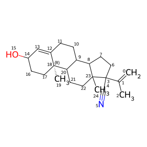 C=C(C)C1(C#N)CCC2C3CCC4=CC(O)CC[C@]4(C)C3CCC21C